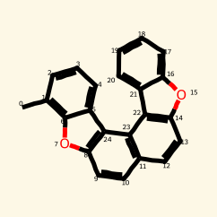 Cc1cccc2c1oc1ccc3ccc4oc5ccccc5c4c3c12